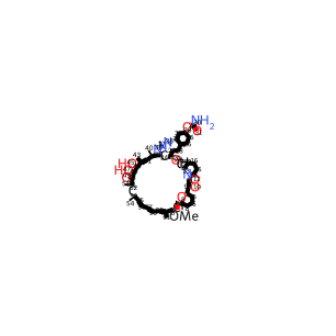 CO[C@H]1C[C@@H]2CCCC(O2)C(=O)C(=O)N2CCCC[C@H]2COC(CCC2CCC(OC(N)=O)CC2)CC(N=[N+]=[N-])[C@H](C)/C=C(\C)[C@@H](O)[C@@H](O)C(=O)[C@H](C)C[C@H](C)/C=C/C=C/C=C/1C